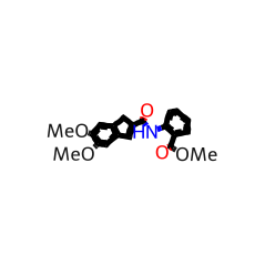 COC(=O)c1ccccc1NC(=O)C1=Cc2cc(OC)c(OC)cc2C1